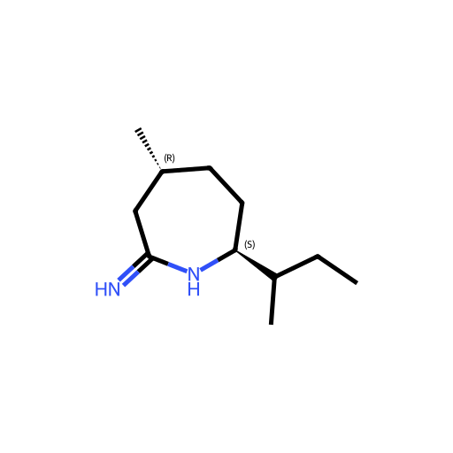 CCC(C)[C@@H]1CC[C@@H](C)CC(=N)N1